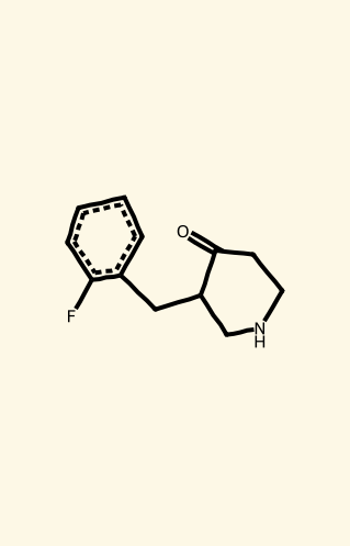 O=C1CCNCC1Cc1ccccc1F